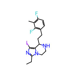 CCc1nc(I)c2n1CCNC2CCc1ccc(F)c(C)c1F